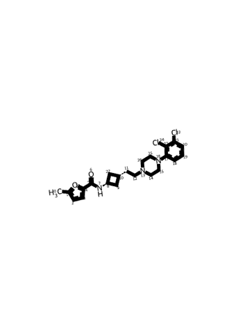 Cc1ccc(C(=O)N[C@H]2C[C@@H](CCN3CCN(c4cccc(Cl)c4Cl)CC3)C2)o1